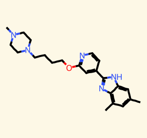 Cc1cc(C)c2nc(-c3ccnc(OCCCCN4CCN(C)CC4)c3)[nH]c2c1